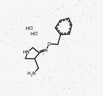 Cl.Cl.NCC1CNC/C1=N\OCc1ccccc1